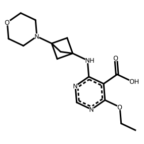 CCOc1ncnc(NC23CC(N4CCOCC4)(C2)C3)c1C(=O)O